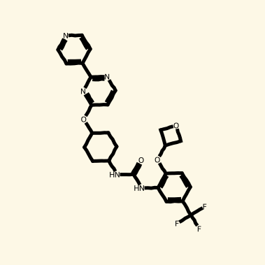 O=C(Nc1cc(C(F)(F)F)ccc1OC1COC1)NC1CCC(Oc2ccnc(-c3ccncc3)n2)CC1